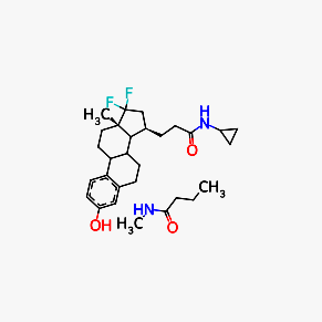 CCCC(=O)NC.C[C@]12CCC3c4ccc(O)cc4CCC3C1[C@H](CCC(=O)NC1CC1)CC2(F)F